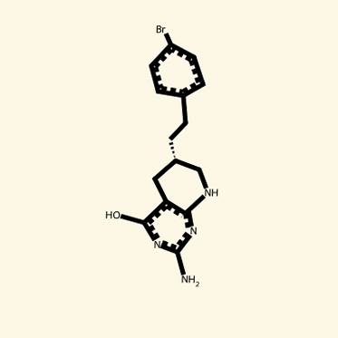 Nc1nc(O)c2c(n1)NC[C@@H](CCc1ccc(Br)cc1)C2